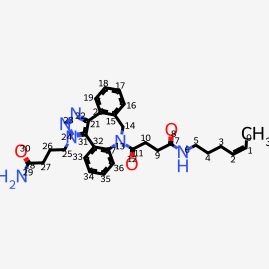 C/C=C\CCCNC(=O)CCC(=O)N1Cc2ccccc2-c2nnn(CCCC(N)=O)c2-c2ccccc21